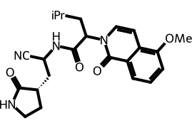 COc1cccc2c(=O)n(C(CC(C)C)C(=O)NC(C#N)C[C@@H]3CCNC3=O)ccc12